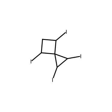 IC1CC(I)C12C(I)C2I